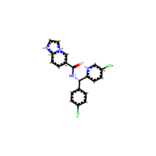 O=C(N[C@@H](c1ccc(Cl)cc1)c1ccc(Cl)cn1)c1ccc2nccn2c1